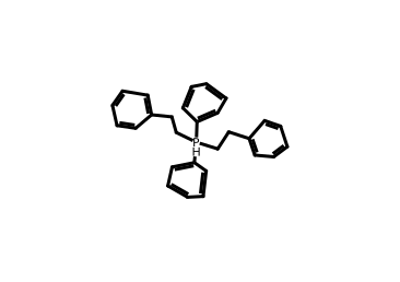 c1ccc(CC[PH](CCc2ccccc2)(c2ccccc2)c2ccccc2)cc1